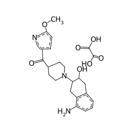 COc1ccc(C(=O)C2CCN(C3Cc4c(N)cccc4CC3O)CC2)cn1.O=C(O)C(=O)O